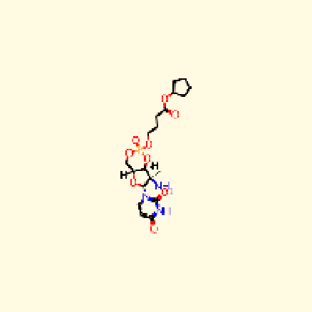 C[C@@]1(N)[C@@H]2OP(=O)(OCCCC(=O)OC3CCCC3)OC[C@H]2O[C@H]1n1ccc(=O)[nH]c1=O